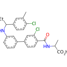 CCC(Nc1cccc(-c2ccc(C(=O)NC(C)C(=O)O)c(Cl)c2)c1)c1ccc(Cl)c(C)c1